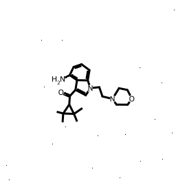 CC1(C)C(C(=O)c2cn(CCN3CCOCC3)c3cccc(N)c23)C1(C)C